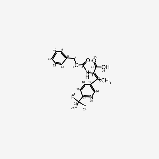 CC(=C(NC(=O)OCc1ccccc1)C(=O)O)c1ccc(C(F)(F)F)nc1